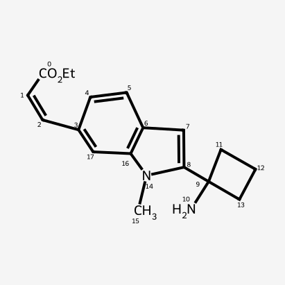 CCOC(=O)/C=C\c1ccc2cc(C3(N)CCC3)n(C)c2c1